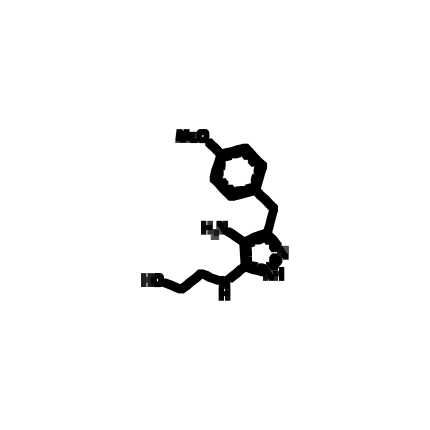 COc1ccc(Cc2n[nH]c(NCCO)c2N)cc1